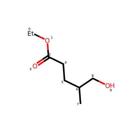 CCOC(=O)CCC(C)CO